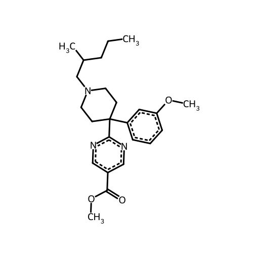 CCCC(C)CN1CCC(c2cccc(OC)c2)(c2ncc(C(=O)OC)cn2)CC1